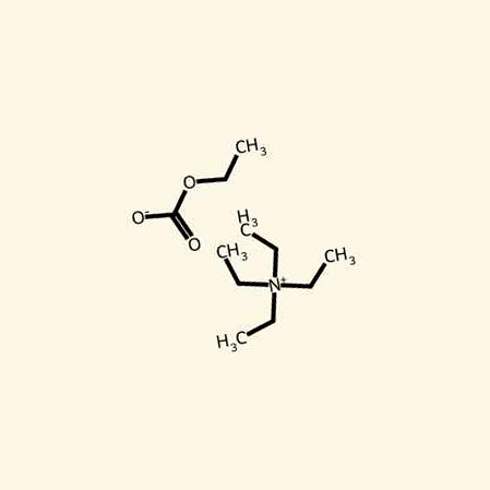 CCOC(=O)[O-].CC[N+](CC)(CC)CC